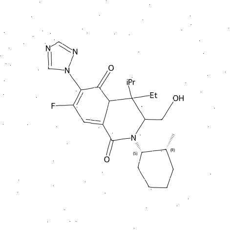 CCC1(C(C)C)C2C(=O)C(n3cncn3)=C(F)C=C2C(=O)N([C@H]2CCCC[C@H]2C)C1CO